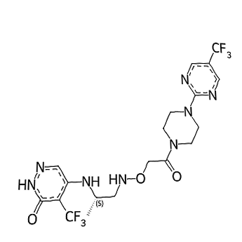 C[C@@H](CNOCC(=O)N1CCN(c2ncc(C(F)(F)F)cn2)CC1)Nc1cn[nH]c(=O)c1C(F)(F)F